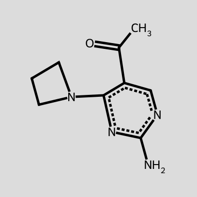 CC(=O)c1cnc(N)nc1N1CCC1